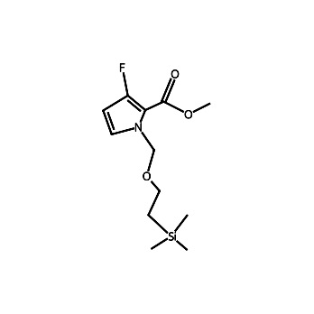 COC(=O)c1c(F)ccn1COCC[Si](C)(C)C